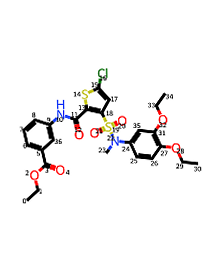 CCOC(=O)c1cccc(NC(=O)c2sc(Cl)cc2S(=O)(=O)N(C)c2ccc(OCC)c(OCC)c2)c1